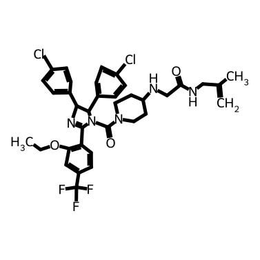 C=C(C)CNC(=O)CNC1CCN(C(=O)N2C(c3ccc(C(F)(F)F)cc3OCC)=NC(c3ccc(Cl)cc3)C2c2ccc(Cl)cc2)CC1